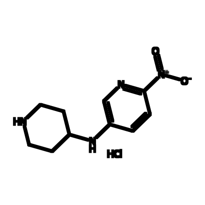 Cl.O=[N+]([O-])c1ccc(NC2CCNCC2)cn1